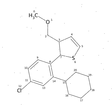 COCC1C=CSC1c1ccc(Cl)cc1C1CCCCC1